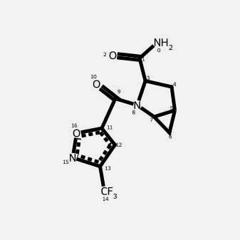 NC(=O)C1CC2CC2N1C(=O)c1cc(C(F)(F)F)no1